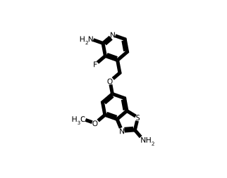 COc1cc(OCc2ccnc(N)c2F)cc2sc(N)nc12